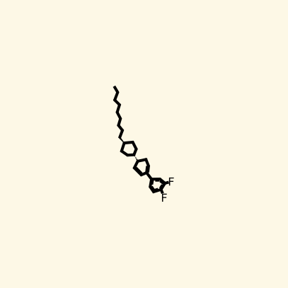 CCCCCCCCC[C@H]1CC[C@H](C2C=CC(c3ccc(F)c(F)c3)=CC2)CC1